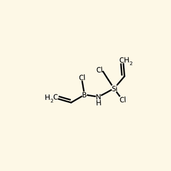 C=CB(Cl)N[Si](Cl)(Cl)C=C